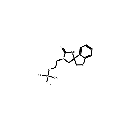 CC(C)(C)[Si](C)(C)OCCN1CC2(COc3ccccc32)NC1=O